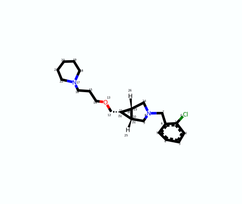 Clc1ccccc1CN1C[C@@H]2[C@H](COCCCN3CCCCC3)[C@@H]2C1